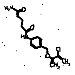 C=C(Cl)C(=C)OCc1ccc(NC(=O)CCCC(N)=O)cc1